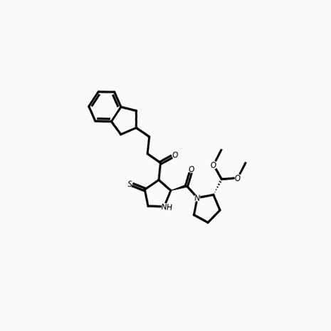 COC(OC)[C@@H]1CCCN1C(=O)[C@H]1NCC(=S)C1C(=O)CCC1Cc2ccccc2C1